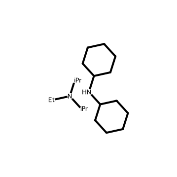 C1CCC(NC2CCCCC2)CC1.CCN(C(C)C)C(C)C